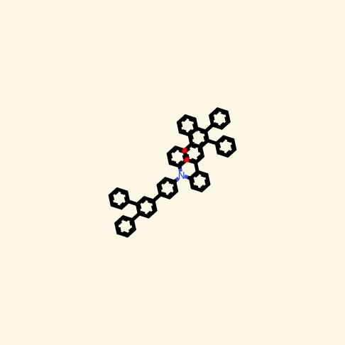 c1ccc(-c2ccc(-c3ccc(N(c4ccccc4)c4ccccc4-c4ccc5c(c4)c(-c4ccccc4)c(-c4ccccc4)c4ccccc45)cc3)cc2-c2ccccc2)cc1